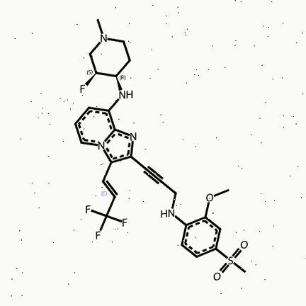 COc1cc(S(C)(=O)=O)ccc1NCC#Cc1nc2c(N[C@@H]3CCN(C)C[C@@H]3F)cccn2c1/C=C/C(F)(F)F